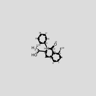 CC(O)c1cc2cccc(F)c2c(=O)n1-c1ccccc1